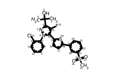 CC(C)(O)c1nn(-c2ccccc2Cl)c(-c2ccc(-c3cccc(S(C)(=O)=O)c3)s2)c1F